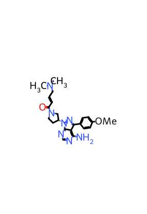 COc1ccc(-c2nn([C@@H]3CCN(C(=O)/C=C/CN(C)C)C3)c3ncnc(N)c23)cc1